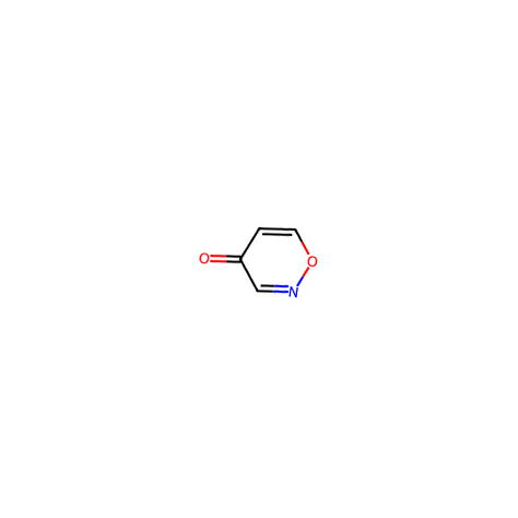 O=c1cconc1